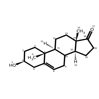 C[C@]12CC[C@H](O)CC1=CCC1[C@@H]2CC[C@]2(C)C(=O)CC[C@@H]12